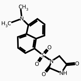 CN(C)c1cccc2c(S(=O)(=O)N3CC(=O)NC3=O)cccc12